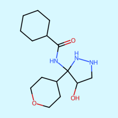 O=C(NC1(C2CCOCC2)NNCC1O)C1CCCCC1